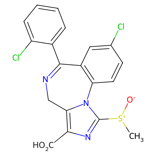 C[S+]([O-])c1nc(C(=O)O)c2n1-c1ccc(Cl)cc1C(c1ccccc1Cl)=NC2